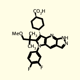 COCC(C)(C)c1c([C@H]2CC[C@H](C(=O)O)CC2)c2nc3[nH]ncc3cc2n1-c1ccc(F)c(F)c1